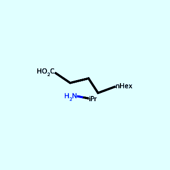 CC(C)N.CCCCCCCCCC(=O)O